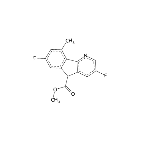 COC(=O)C1c2cc(F)cnc2-c2c(C)cc(F)cc21